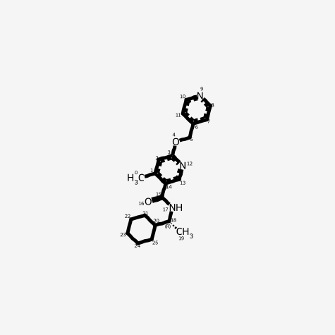 Cc1cc(OCc2ccncc2)ncc1C(=O)N[C@H](C)C1CCCCC1